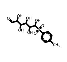 Cc1ccc(S(=O)(=O)C(O)C(O)C(O)C(O)C(O)C=O)cc1